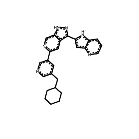 c1cnc2cc(-c3n[nH]c4cnc(-c5cncc(CC6CCCCC6)c5)cc34)[nH]c2c1